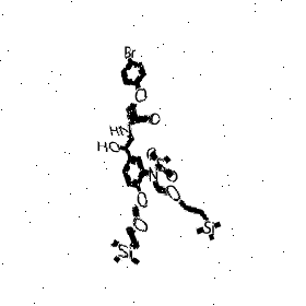 C[Si](C)(C)CCOCOc1ccc(C(O)CNC(=O)COc2ccc(Br)cc2)cc1N(COCC[Si](C)(C)C)S(C)(=O)=O